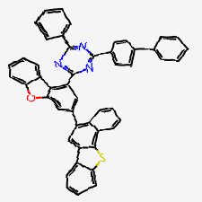 c1ccc(-c2ccc(-c3nc(-c4ccccc4)nc(-c4cc(-c5cc6c7ccccc7sc6c6ccccc56)cc5oc6ccccc6c45)n3)cc2)cc1